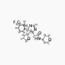 C/C(N)=N/C(CC(=O)NC1CCOCC1)=C(\Cc1cccc(C(F)(F)F)c1C)C1CCCO1